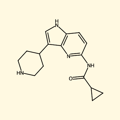 O=C(Nc1ccc2[nH]cc(C3CCNCC3)c2n1)C1CC1